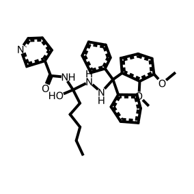 CCCCCC(O)(NNC(c1ccccc1)(c1ccccc1)c1cccc(OC)c1OC)NC(=O)c1cccnc1